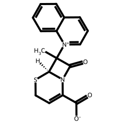 CC1([n+]2cccc3ccccc32)C(=O)N2C(C(=O)[O-])=CCS[C@H]21